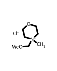 COC[N+]1(C)CCOCC1.[Cl-]